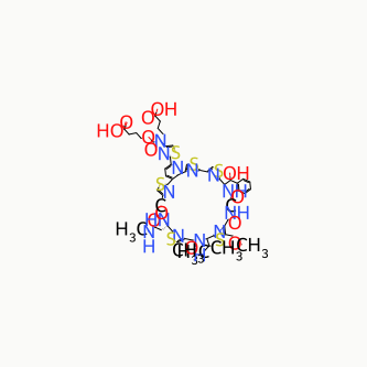 CNC(=O)C[C@@H]1NOCc2csc(n2)-c2ccc(-c3nc(N(CCCC(=O)O)C(=O)OCCCC(=O)O)cs3)nc2-c2csc(n2)-c2csc(n2)[C@H]([C@@H](O)c2ccccc2)NC(=O)CNC(=O)c2nc(sc2COC)C(C(C)C)NC(=O)c2nc1sc2C